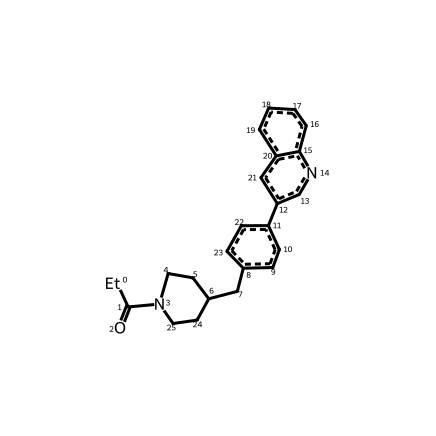 CCC(=O)N1CCC(Cc2ccc(-c3cnc4ccccc4c3)cc2)CC1